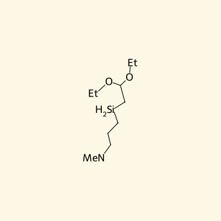 CCOC(C[SiH2]CCCNC)OCC